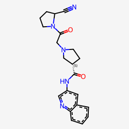 N#CC1CCCN1C(=O)CN1CC[C@H](C(=O)Nc2cnc3ccccc3c2)C1